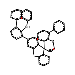 c1ccc(Nc2c(-c3ccccc3)cccc2-c2ccc3c(c2)Sc2ccccc2C32c3ccccc3Sc3c(-c4ccccc4)cccc32)cc1